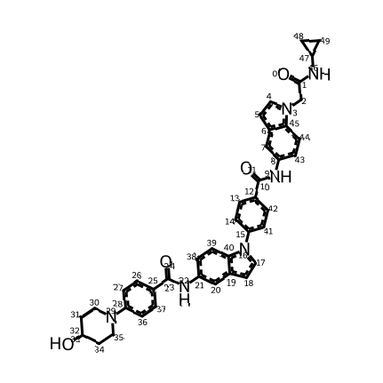 O=C(Cn1ccc2cc(NC(=O)c3ccc(-n4ccc5cc(NC(=O)c6ccc(N7CCC(O)CC7)cc6)ccc54)cc3)ccc21)NC1CC1